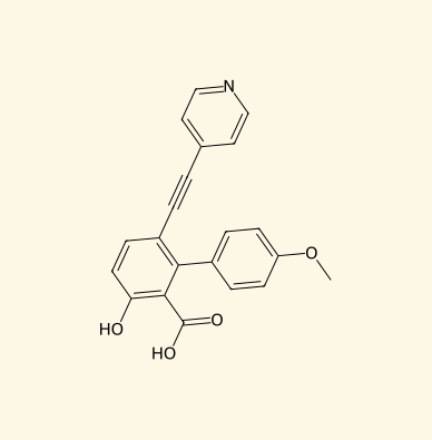 COc1ccc(-c2c(C#Cc3ccncc3)ccc(O)c2C(=O)O)cc1